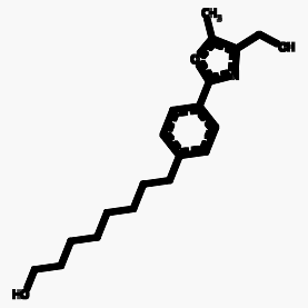 Cc1oc(-c2ccc(CCCCCCCCO)cc2)nc1CO